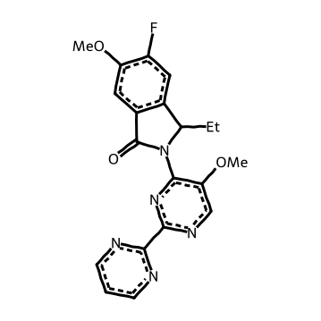 CCC1c2cc(F)c(OC)cc2C(=O)N1c1nc(-c2ncccn2)ncc1OC